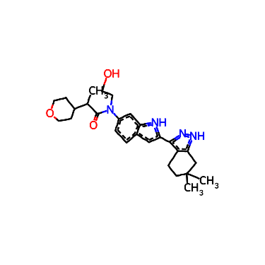 CC(C(=O)N(CCO)c1ccc2cc(-c3n[nH]c4c3CCC(C)(C)C4)[nH]c2c1)C1CCOCC1